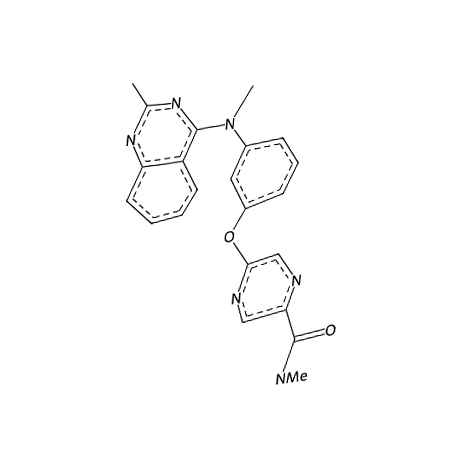 CNC(=O)c1cnc(Oc2cccc(N(C)c3nc(C)nc4ccccc34)c2)cn1